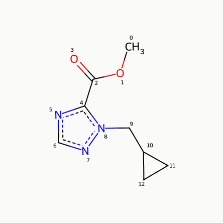 COC(=O)c1ncnn1CC1CC1